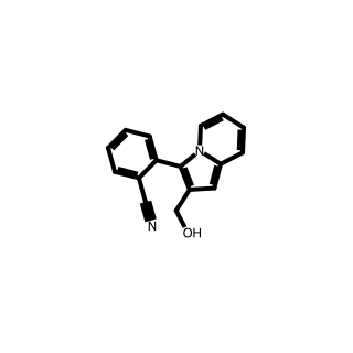 N#Cc1ccccc1-c1c(CO)cc2ccccn12